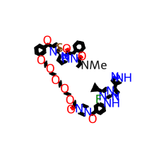 CN[C@@H](C)C(=O)NC(C(=O)N1CCC[C@H]1c1nc(C(=O)c2cccc(OCCOCCOCCOCCOCC(=O)N3CCN(C(=O)c4ccc(Nc5nc(C6CC6)cn6c(-c7cn[nH]c7)cnc56)c(F)c4)CC3)c2)cs1)C1CCCCC1